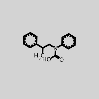 CC(CN(C(=O)O)c1ccccc1)c1ccccc1